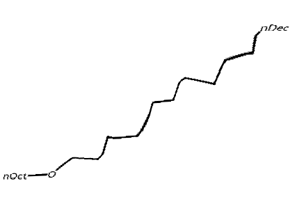 CCCCCCCCCCCCCCCCCCCCOCCCCCCCC